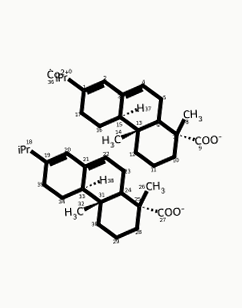 CC(C)C1=CC2=CCC3[C@](C)(C(=O)[O-])CCC[C@]3(C)[C@H]2CC1.CC(C)C1=CC2=CCC3[C@](C)(C(=O)[O-])CCC[C@]3(C)[C@H]2CC1.[Co+2]